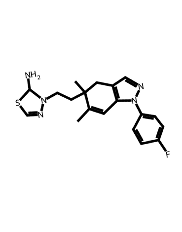 CC1=Cc2c(cnn2-c2ccc(F)cc2)CC1(C)CCN1N=CSC1N